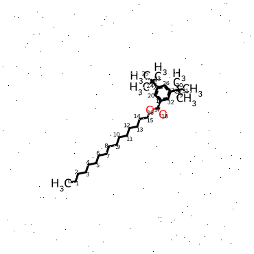 CCCCCCCCCCCCCCCCOC(=O)c1cc(C(C)(C)C)cc(C(C)(C)C)c1